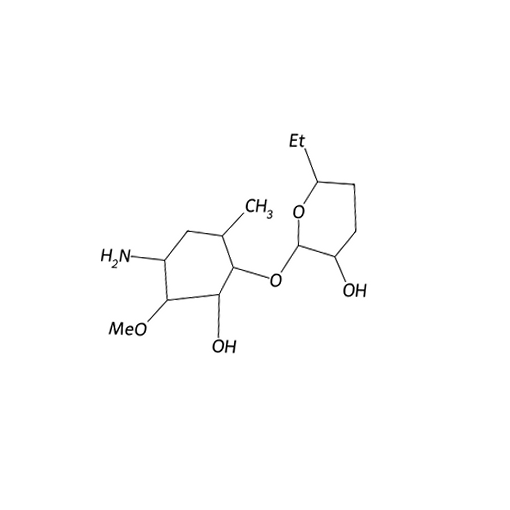 CCC1CCC(O)C(OC2C(C)CC(N)C(OC)C2O)O1